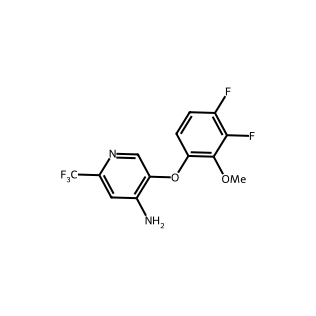 COc1c(Oc2cnc(C(F)(F)F)cc2N)ccc(F)c1F